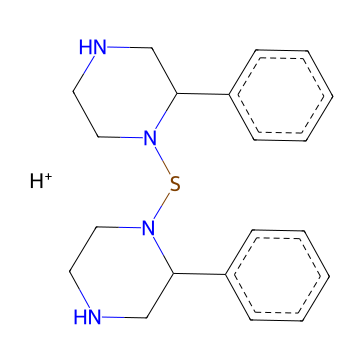 [H+].c1ccc(C2CNCCN2SN2CCNCC2c2ccccc2)cc1